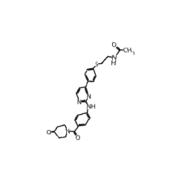 CC(=O)NCCSc1ccc(-c2ccnc(Nc3ccc(C(=O)N4CCC(=O)CC4)cc3)n2)cc1